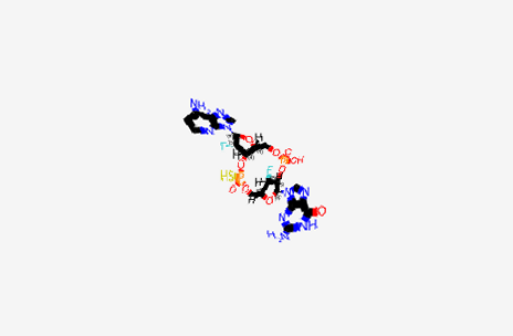 Nc1nc2c(ncn2[C@@H]2O[C@@H]3COP(=O)(S)O[C@H]4[C@H](F)[C@H](n5cnc6c(N)ccnc65)O[C@@H]4COP(=O)(O)O[C@@H]2[C@@H]3F)c(=O)[nH]1